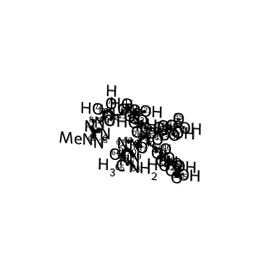 CNc1ncnc2c1ncn2[C@@H]1O[C@H](COP(=O)(O)OP(=O)(O)OP(=O)(O)O[C@@H]2[C@H](OP(=O)(O)OP(=O)(O)OP(=O)(O)O)[C@@H](COP(=O)(O)OP(=O)(O)OP(=O)(O)O)O[C@H]2n2cnc3c(=O)n(C)c(N)nc32)[C@@H](O)[C@H]1O